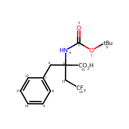 CC(C)(C)OC(=O)NC(Cc1ccccc1)(CC(F)(F)F)C(=O)O